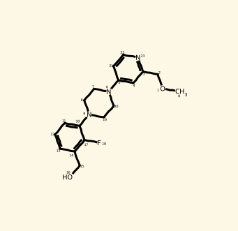 COCc1cc(N2CCN(c3cccc(CO)c3F)CC2)ccn1